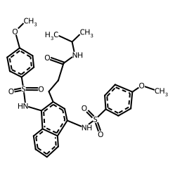 COc1ccc(S(=O)(=O)Nc2cc(CCC(=O)NC(C)C)c(NS(=O)(=O)c3ccc(OC)cc3)c3ccccc23)cc1